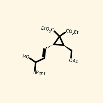 CCCCCC(O)C=C[C@H]1[C@H](COC(C)=O)C1(C(=O)OCC)C(=O)OCC